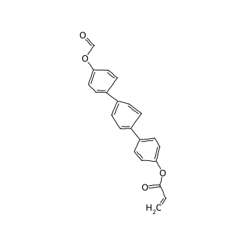 C=CC(=O)Oc1ccc(-c2ccc(-c3ccc(OC=O)cc3)cc2)cc1